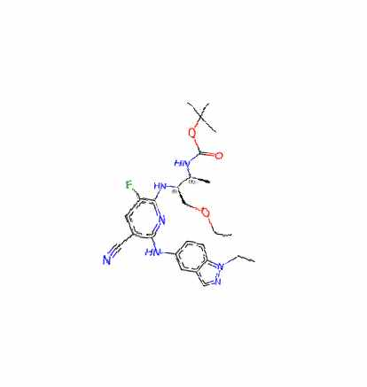 CCOC[C@@H](Nc1nc(Nc2ccc3c(cnn3CC)c2)c(C#N)cc1F)[C@H](C)NC(=O)OC(C)(C)C